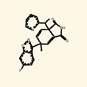 CC(c1ccccn1)C12C=CC(C)(c3noc4cc(F)ccc34)C=C1C(=O)NC2=O